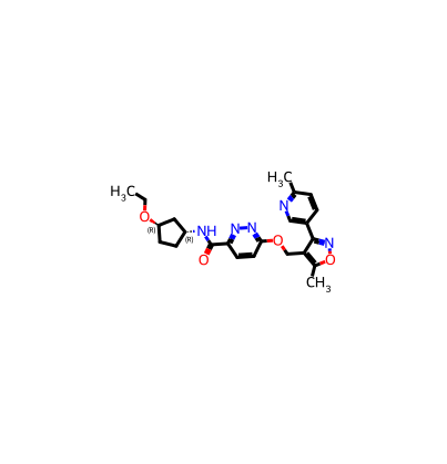 CCO[C@@H]1CC[C@@H](NC(=O)c2ccc(OCc3c(-c4ccc(C)nc4)noc3C)nn2)C1